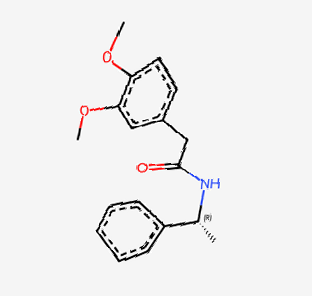 COc1ccc(CC(=O)N[C@H](C)c2ccccc2)cc1OC